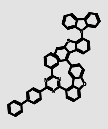 c1ccc(-c2ccc(-c3nc(-c4ccccc4)nc(-c4cccc5oc6ccc(-c7cccc8sc9c(-n%10c%11ccccc%11c%11ccccc%11%10)cccc9c78)cc6c45)n3)cc2)cc1